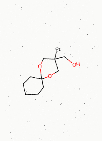 CCC1(CO)COC2(CCCCC2)OC1